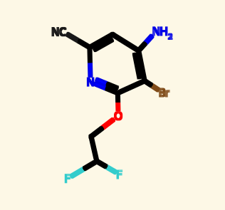 N#Cc1cc(N)c(Br)c(OCC(F)F)n1